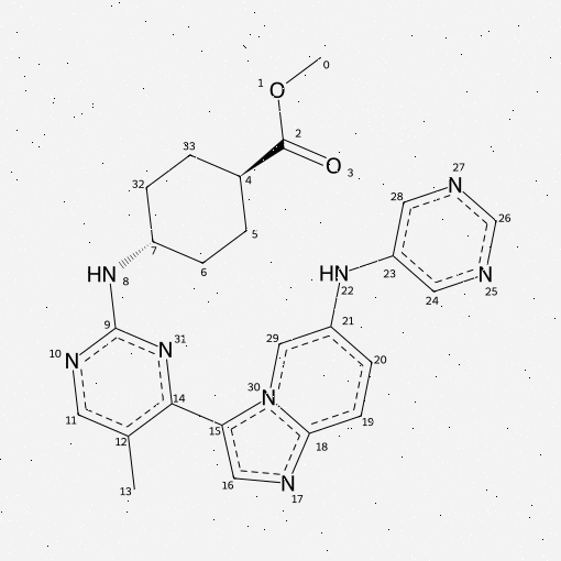 COC(=O)[C@H]1CC[C@H](Nc2ncc(C)c(-c3cnc4ccc(Nc5cncnc5)cn34)n2)CC1